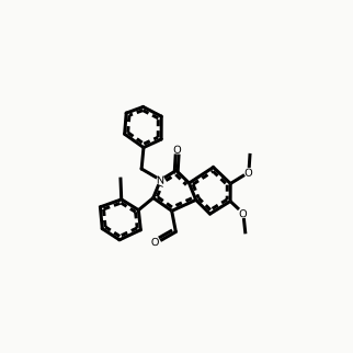 COc1cc2c(C=O)c(-c3ccccc3C)n(Cc3ccccc3)c(=O)c2cc1OC